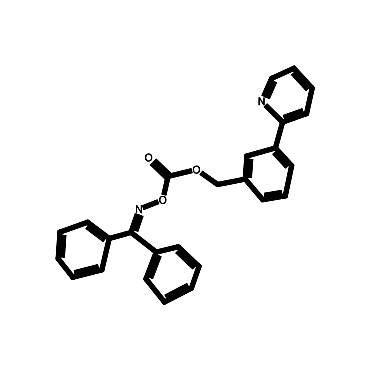 O=C(OCc1cccc(-c2ccccn2)c1)ON=C(c1ccccc1)c1ccccc1